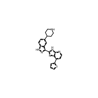 c1csc(-c2ccnc3[nH]c(-c4n[nH]c5ccc(C6CCNCC6)cc45)nc23)c1